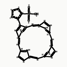 O=S(=O)(O)c1ccoc1C1=CC2=CC3=NC(=CC4=NC(=CC5=NC(=CC1=N2)C=C5)C=C4)C=C3